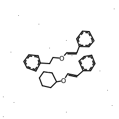 C(=Cc1ccccc1)OC1CCCCC1.C(=Cc1ccccc1)OCCc1ccccc1